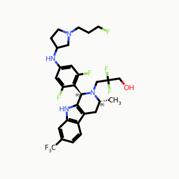 C[C@@H]1Cc2c([nH]c3cc(C(F)(F)F)ccc23)[C@@H](c2c(F)cc(NC3CCN(CCCF)C3)cc2F)N1CC(F)(F)CO